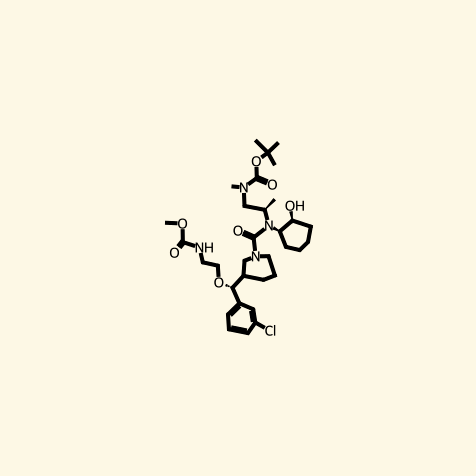 COC(=O)NCCO[C@@H](c1cccc(Cl)c1)C1CCCN(C(=O)N([C@H](C)CN(C)C(=O)OC(C)(C)C)[C@@H]2CCCC[C@@H]2O)C1